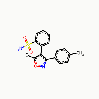 Cc1ccc(-c2noc(C)c2-c2ccccc2S(N)(=O)=O)cc1